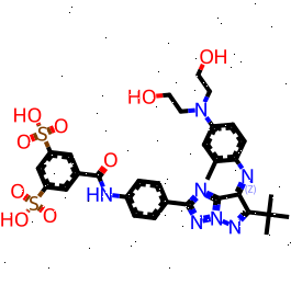 Cc1cc(N(CCO)CCO)ccc1/N=C1/C(C(C)(C)C)=Nn2nc(-c3ccc(NC(=O)c4cc(S(=O)(=O)O)cc(S(=O)(=O)O)c4)cc3)nc21